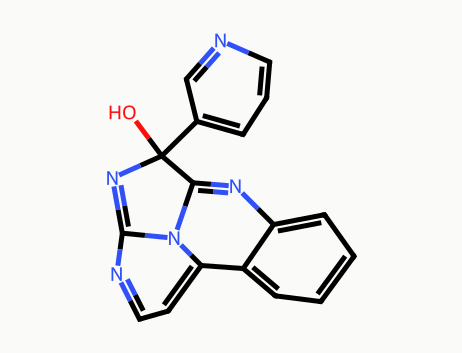 OC1(c2cccnc2)N=C2N=CC=C3c4ccccc4N=C1N32